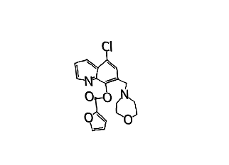 O=C(Oc1c(CN2CCOCC2)cc(Cl)c2cccnc12)c1ccco1